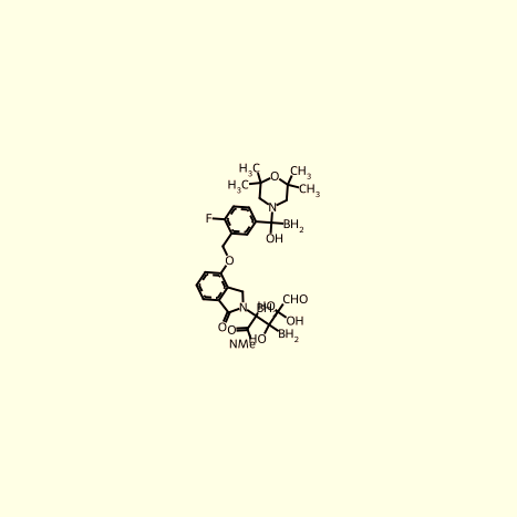 BC(O)(c1ccc(F)c(COc2cccc3c2CN(C(B)(C(=O)NC)C(B)(O)C(O)(O)C=O)C3=O)c1)N1CC(C)(C)OC(C)(C)C1